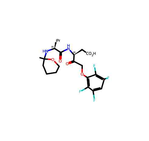 CC(C)[C@H](NC1(C)CCCCO1)C(=O)N[C@@H](CC(=O)O)C(=O)COc1c(F)c(F)cc(F)c1F